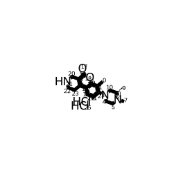 Cc1c(N2CCN(C)[C@@H](C)C2)ccc2c3c(c(=O)oc12)CNCC3.Cl.Cl